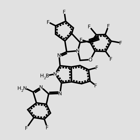 Bn1c(/N=C2\N=C(N)c3cc(F)c(F)cc32)c2cc(F)c(F)cc2c1/N=C1/c2cc(F)c(F)cc2C(C#C)N1COc1c(F)c(F)c(F)c(F)c1F